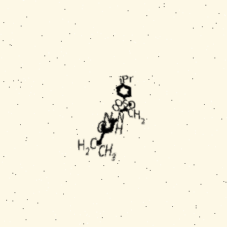 C=C(C)c1cc(NC(=O)C(=C)S(=O)(=O)c2ccc(C(C)C)cc2)no1